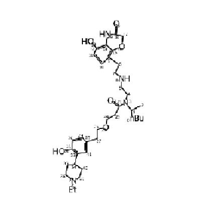 CCCCC(C)N(CCNCCc1ccc(O)c2c1OCC(=O)N2)C(=O)CCOCCc1ccc(O)c(C2CCN(CC)CC2)c1